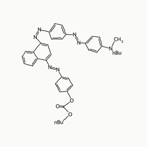 CCCCOC(=O)Oc1ccc(N=Nc2ccc(/N=N\c3ccc(N=Nc4ccc(N(C)CCCC)cc4)cc3)c3ccccc23)cc1